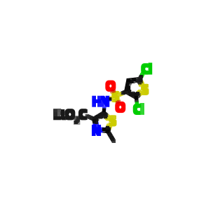 CCOC(=O)c1nc(C)sc1NS(=O)(=O)c1cc(Cl)sc1Cl